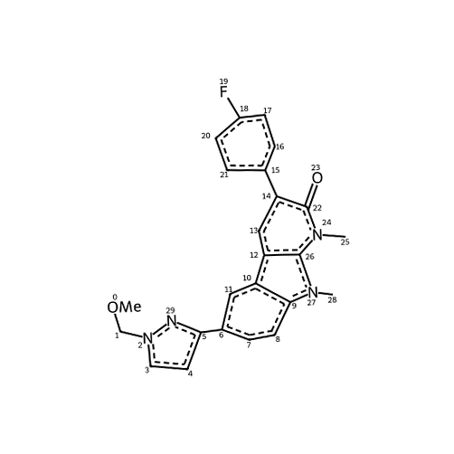 COCn1ccc(-c2ccc3c(c2)c2cc(-c4ccc(F)cc4)c(=O)n(C)c2n3C)n1